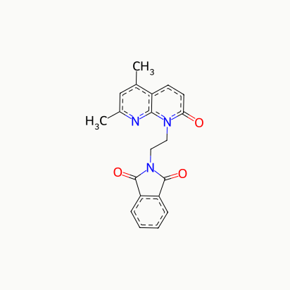 Cc1cc(C)c2ccc(=O)n(CCN3C(=O)c4ccccc4C3=O)c2n1